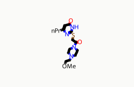 CCCc1cc(=O)[nH]c(SCC(=O)N2CCN(CCOC)CC2)n1